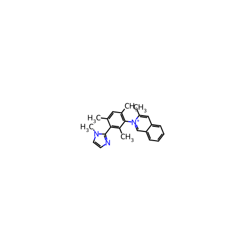 Cc1cc(C)c(-[n+]2cc3ccccc3cc2C)c(C)c1-c1nccn1C